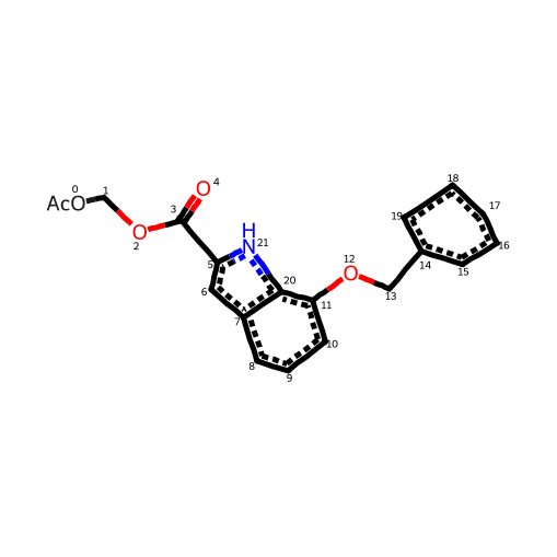 CC(=O)OCOC(=O)c1cc2cccc(OCc3ccccc3)c2[nH]1